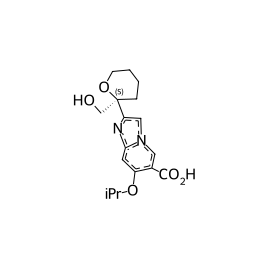 CC(C)Oc1cc2nc([C@]3(CO)CCCCO3)cn2cc1C(=O)O